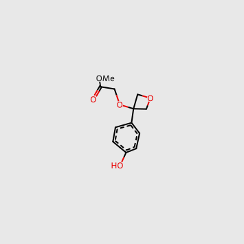 COC(=O)COC1(c2ccc(O)cc2)COC1